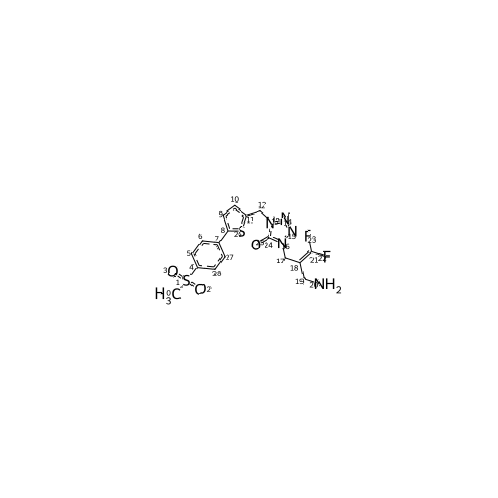 CS(=O)(=O)c1ccc(-c2ccc(Cn3nnn(CC(CN)=C(F)F)c3=O)s2)cc1